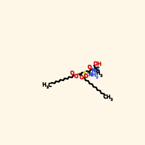 CCCCCCCCCCCC(=O)OC[C@H](CSC[C@H](N)C(=O)N[C@@H](C)CO)OC(=O)CCCCCCCCCCC